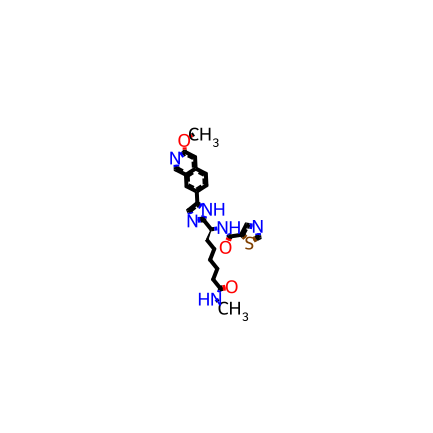 CNC(=O)CCCCC[C@H](NC(=O)c1cncs1)c1ncc(-c2ccc3cc(OC)ncc3c2)[nH]1